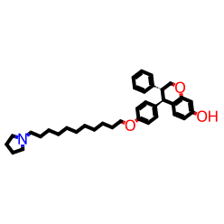 Oc1ccc2c(c1)OC[C@@H](c1ccccc1)[C@@H]2c1ccc(OCCCCCCCCCCCN2CCCC2)cc1